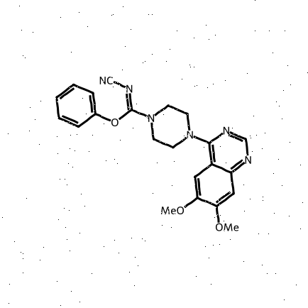 COc1cc2ncnc(N3CCN(C(=NC#N)Oc4ccccc4)CC3)c2cc1OC